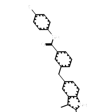 Cc1[nH]c2ccc(Cc3cccc(C(=O)Nc4ccc(F)cc4)c3)cc2c1C